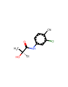 CC[C@@](C)(O)C(=O)Nc1ccc(C#N)c(Cl)c1